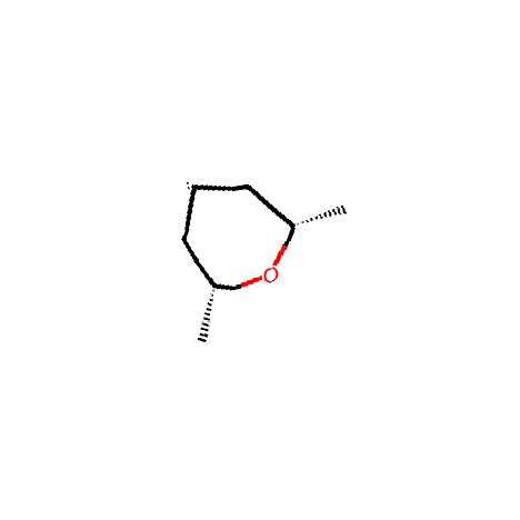 C[C@@H]1C[C]C[C@H](C)O1